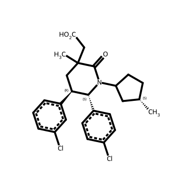 C[C@H]1CCC(N2C(=O)C(C)(CC(=O)O)C[C@H](c3cccc(Cl)c3)[C@H]2c2ccc(Cl)cc2)C1